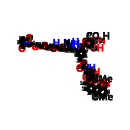 COc1c2c(c(O)c3c4c(c(C)cc13)C(C)C1OC(O)(CNC(=O)OCc3ccc(OC5C[C@@H](O)[C@H](O)C(C(=O)O)O5)c(N/C=C(/COCCOCCOCCOCCN5C(=O)C=CC5=O)NN)c3)[C@]3(CO3)C1(OC)O4)C(=O)CCC2